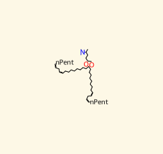 CCCCC/C=C\C/C=C\CCCCCCCCC1(CCCCCCCC/C=C\C/C=C\CCCCC)OCC(CCC(C)N(C)C)O1